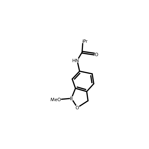 COB1OCc2ccc(NC(=O)C(C)C)cc21